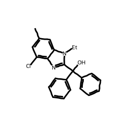 CCn1c(C(O)(c2ccccc2)c2ccccc2)nc2c(Cl)cc(C)cc21